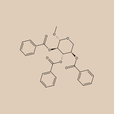 CO[C@@H]1OC[C@@H](OC(=O)c2ccccc2)[C@H](OC(=O)c2ccccc2)[C@H]1OC(=O)c1ccccc1